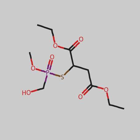 CCOC(=O)CC(SP(=O)(CO)OC)C(=O)OCC